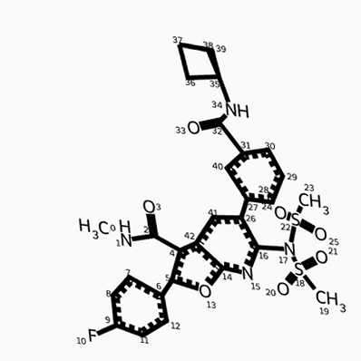 CNC(=O)c1c(-c2ccc(F)cc2)oc2nc(N(S(C)(=O)=O)S(C)(=O)=O)c(-c3cccc(C(=O)NC45CC(C4)C5)c3)cc12